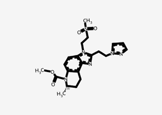 COC(=O)N1c2ccc3c(nc(CCn4cccn4)n3CCS(C)(=O)=O)c2CC[C@@H]1C